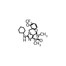 Cn1c(=O)c2c(nc(NC3CCCCC3)n2Cc2ccccc2OC(F)(F)F)n(C)c1=O